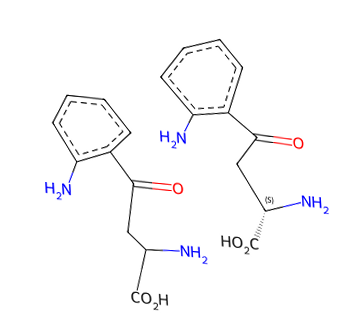 Nc1ccccc1C(=O)CC(N)C(=O)O.Nc1ccccc1C(=O)C[C@H](N)C(=O)O